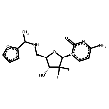 CC(NC[C@H]1O[C@@H](n2ccc(N)nc2=O)C(F)(F)[C@@H]1O)c1ccco1